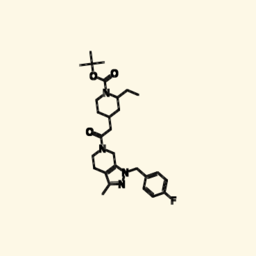 CCC1CC(CC(=O)N2CCc3c(C)nn(Cc4ccc(F)cc4)c3C2)CCN1C(=O)OC(C)(C)C